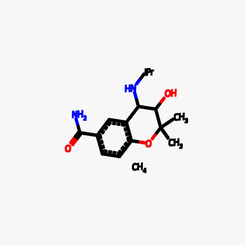 C.CC(C)NC1c2cc(C(N)=O)ccc2OC(C)(C)C1O